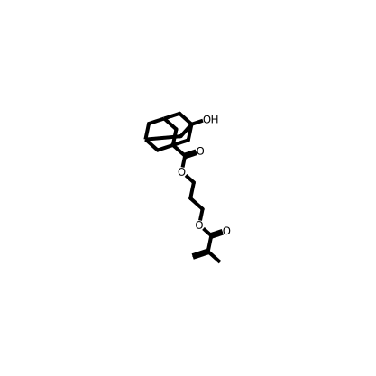 C=C(C)C(=O)OCCCOC(=O)C12CC3CC(CC(O)(C3)C1)C2